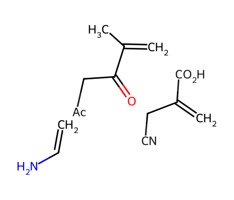 C=C(C)C(=O)CC(C)=O.C=C(CC#N)C(=O)O.C=CN